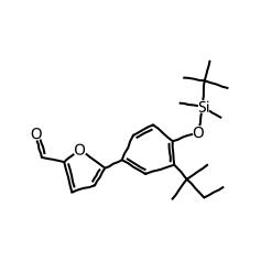 CCC(C)(C)c1cc(-c2ccc(C=O)o2)ccc1O[Si](C)(C)C(C)(C)C